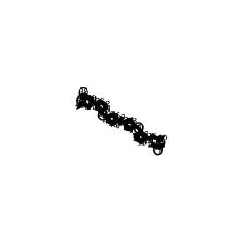 CC(C)(c1ccc(Oc2cccc(N(CC3CO3)CC3CO3)c2)cc1)c1ccc(Oc2cccc(N(CC3CO3)CC3CO3)c2)cc1